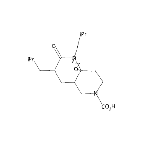 CC(C)CC1CC2CN(C(=O)O)CCC23OCC(C(C)C)N3C1=O